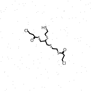 O=C(CCCl)SCCSCC(CSC(=O)CCCl)SCCS